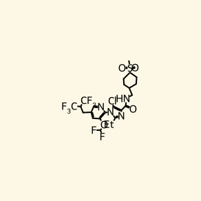 CCc1nc(C(=O)NCC2CCC(S(C)(=O)=O)CC2)c(Cl)n1-c1ncc(CC(C(F)(F)F)C(F)(F)F)cc1OC(F)F